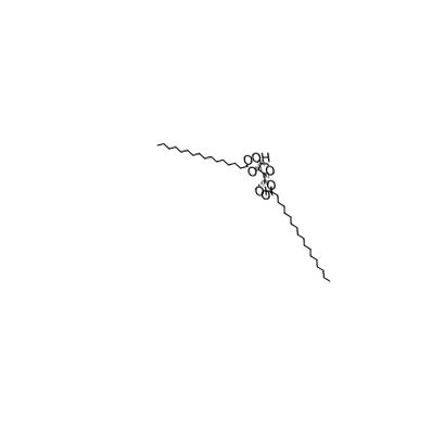 CCCCCCCCCCCCCCCCCC(=O)O[C@H](CO)[C@H]1OC[C@H](O)[C@H]1OC(=O)CCCCCCCCCCCCCCC